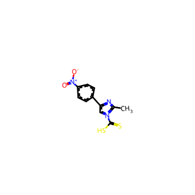 Cc1nc(-c2ccc([N+](=O)[O-])cc2)cn1C(=S)S